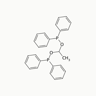 CC(OP(c1ccccc1)c1ccccc1)OP(c1ccccc1)c1ccccc1